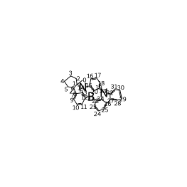 CC12CCCC[C@@]1(C)c1cccc3c1N2c1cccc2c1B3c1cccc3c4ccccc4n-2c13